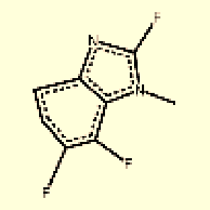 Cn1c(F)nc2ccc(F)c(F)c21